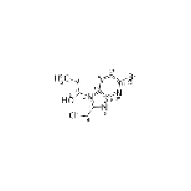 CCC(O)n1c(CCl)nc2nc(Br)ccc21